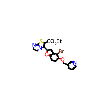 CCOC(=O)C1=C(c2cc3c(Br)c(OCc4cccnc4)ccc3o2)N2CCN=C2S1